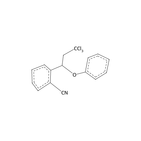 N#Cc1ccccc1C(CC(Cl)(Cl)Cl)Oc1ccccc1